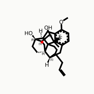 C=CCC1CCC23c4c5ccc(OC)c4C[C@]2(C)[C@@]2(O)CC[C@@]3(C[C@@H]2[C@@](C)(O)C(C)(F)F)[C@H]1C5